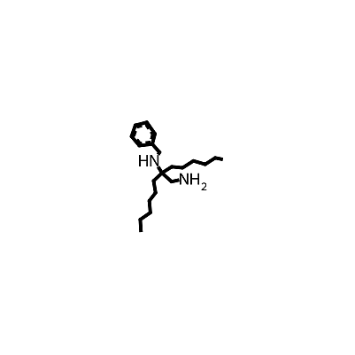 CCCCCCC(CN)(CCCCCC)NCc1ccccc1